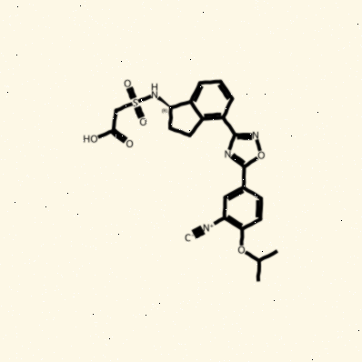 [C-]#[N+]c1cc(-c2nc(-c3cccc4c3CC[C@H]4NS(=O)(=O)CC(=O)O)no2)ccc1OC(C)C